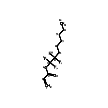 C=CC(=O)OC(F)(F)C(F)(F)CCCCCC(F)(F)F